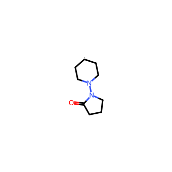 O=C1CCCN1N1CC[CH]CC1